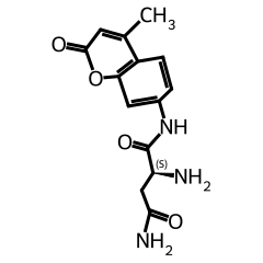 Cc1cc(=O)oc2cc(NC(=O)[C@@H](N)CC(N)=O)ccc12